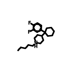 CCCCC[SiH]1CCC(C2(c3ccc(F)c(F)c3)CCCCC2)CC1